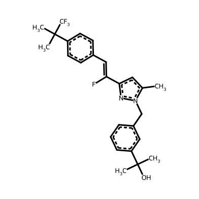 Cc1cc(C(F)=Cc2ccc(C(C)(C)C(F)(F)F)cc2)nn1Cc1cccc(C(C)(C)O)c1